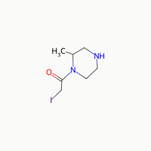 CC1CNCCN1C(=O)CI